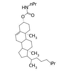 CCCNC(=O)O[C@@H]1CC[C@]2(C)C(=CCC3C4CCC(C(C)CCCC(C)C)[C@]4(C)CCC32)C1